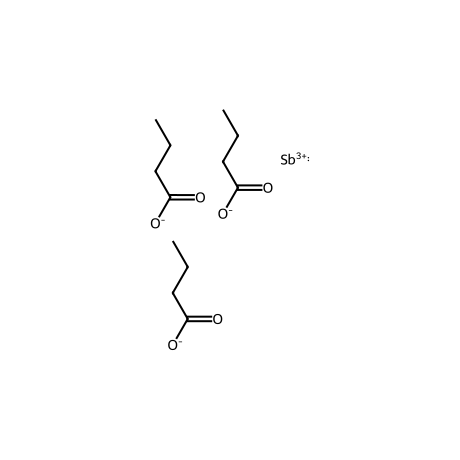 CCCC(=O)[O-].CCCC(=O)[O-].CCCC(=O)[O-].[Sb+3]